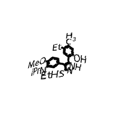 CCc1cc(-c2[nH]nc(S)c2-c2ccc(OC)c(N(CC)C(C)C)c2)c(O)cc1C